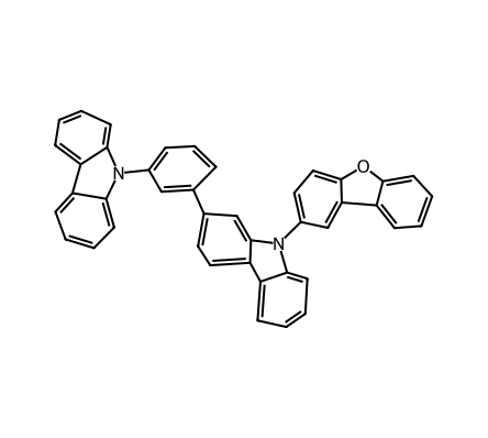 c1cc(-c2ccc3c4ccccc4n(-c4ccc5oc6ccccc6c5c4)c3c2)cc(-n2c3ccccc3c3ccccc32)c1